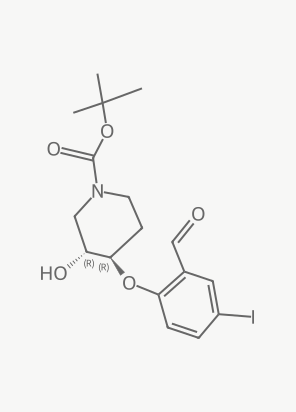 CC(C)(C)OC(=O)N1CC[C@@H](Oc2ccc(I)cc2C=O)[C@H](O)C1